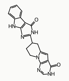 O=c1[nH]cnc2c1cc1n2CCC(c2nc3[nH]c4ccccc4c3c(=O)[nH]2)C1